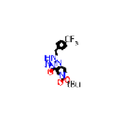 CN(C)n1c(NCCc2ccc(C(F)(F)F)cc2)nc2c(c1=O)CN(C(=O)OC(C)(C)C)CC2